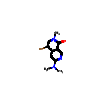 CN(C)c1cc2c(Br)cn(C)c(=O)c2cn1